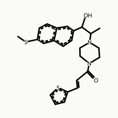 CSc1ccc2cc(C(O)C(C)N3CCN(C(=O)C=Cc4cccs4)CC3)ccc2c1